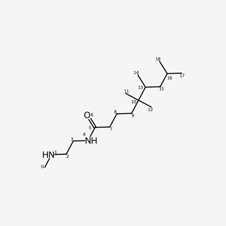 CNCCNC(=O)CCCC(C)(C)C(C)CC(C)C